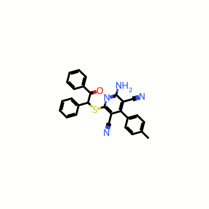 Cc1ccc(-c2c(C#N)c(N)nc(SC(C(=O)c3ccccc3)c3ccccc3)c2C#N)cc1